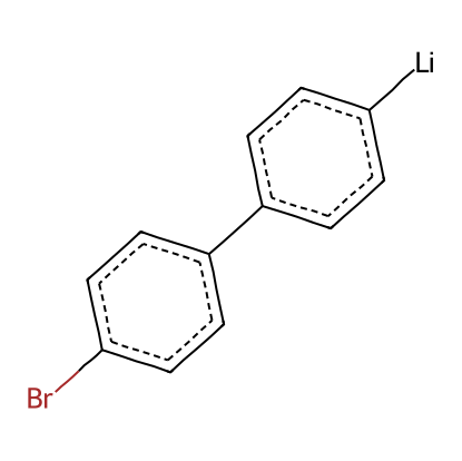 [Li][c]1ccc(-c2ccc(Br)cc2)cc1